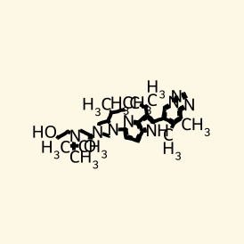 CC[C@H](C)C1CN(C(=O)CN(CCO)C(C)(C)C)CN1c1ccc2[nH]c(-c3cn4ncnc4c(C)c3C)c(C(C)C)c2n1